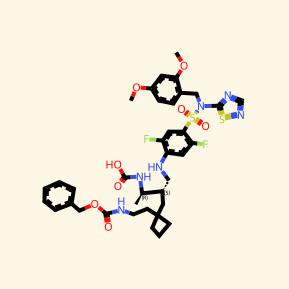 COc1ccc(CN(c2ncns2)S(=O)(=O)c2cc(F)c(NC[C@H](CC3(CCNC(=O)OCc4ccccc4)CCC3)[C@@H](C)NC(=O)O)cc2F)c(OC)c1